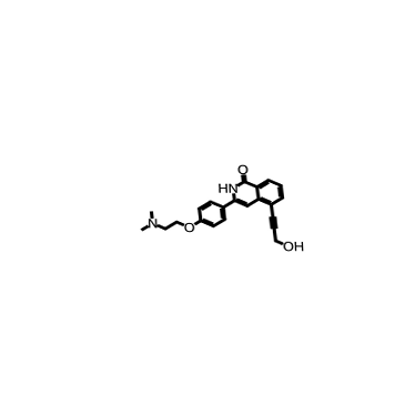 CN(C)CCOc1ccc(-c2cc3c(C#CCO)cccc3c(=O)[nH]2)cc1